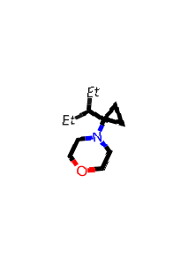 CCC(CC)C1(N2CCOCC2)CC1